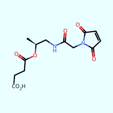 C[C@@H](CNC(=O)CN1C(=O)C=CC1=O)OC(=O)CCC(=O)O